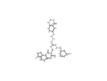 Cn1ccc2c(N[C@@H](CCN(CCCCc3ccc4c(n3)NCCC4)CCOc3cncc(F)c3)C(=O)O)ncnc21